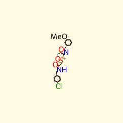 COc1cccc(-c2nc(C[S+]([O-])CC(=O)NCc3ccc(Cl)cc3)c(C)o2)c1